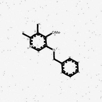 COc1c(OCc2ccccc2)cnc(C)c1C